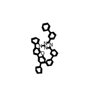 c1ccc(-c2cccc(-c3nc(-c4cccc(-c5ccccc5)c4)nc(-n4c5ccccc5c5ccc6c7cc(-c8ccccc8)ccc7oc6c54)n3)c2)cc1